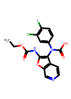 CCOC(=O)Nc1oc2cnccc2c1N(C(=O)O)c1ccc(F)c(Cl)c1